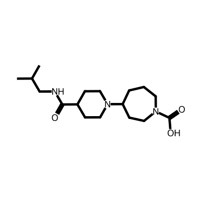 CC(C)CNC(=O)C1CCN(C2CCCN(C(=O)O)CC2)CC1